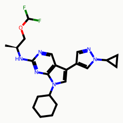 C[C@@H](COC(F)F)Nc1ncc2c(-c3cnn(C4CC4)c3)cn(C3CCCCC3)c2n1